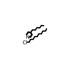 CCCCCCCCCCCl.CCCCCCc1ccncc1